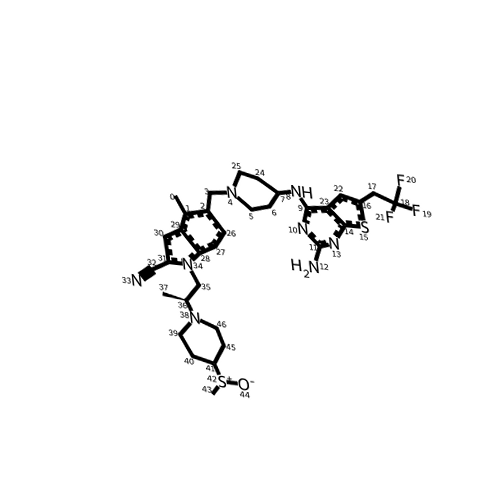 Cc1c(CN2CCC(Nc3nc(N)nc4sc(CC(F)(F)F)cc34)CC2)ccc2c1cc(C#N)n2C[C@H](C)N1CCC([S+](C)[O-])CC1